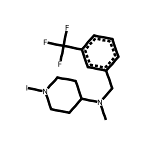 CN(Cc1cccc(C(F)(F)F)c1)C1CCN(I)CC1